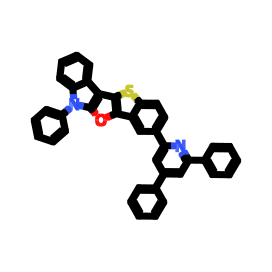 c1ccc(-c2cc(-c3ccccc3)nc(-c3ccc4sc5c(oc6c5c5ccccc5n6-c5ccccc5)c4c3)c2)cc1